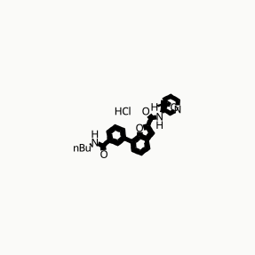 CCCCNC(=O)c1cccc(-c2cccc3cc(C(=O)N[C@H]4CN5CCC4CC5)oc23)c1.Cl